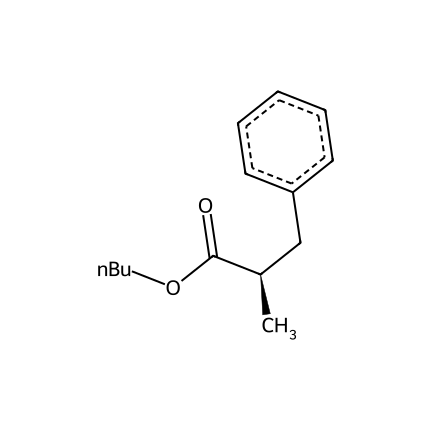 CCCCOC(=O)[C@H](C)Cc1ccccc1